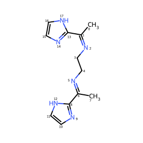 CC(=NCCN=C(C)c1ncc[nH]1)c1ncc[nH]1